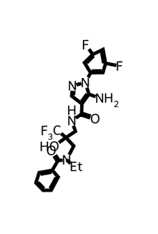 CCN(CC(O)(CNC(=O)c1cnn(-c2cc(F)cc(F)c2)c1N)C(F)(F)F)C(=O)c1ccccc1